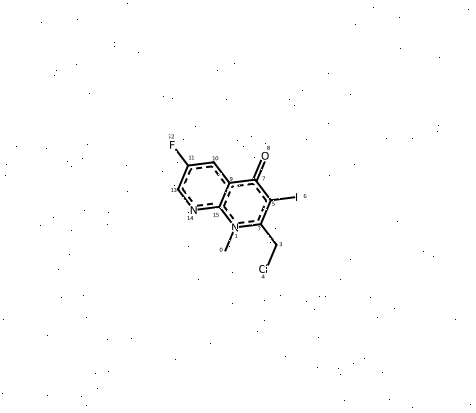 Cn1c(CCl)c(I)c(=O)c2cc(F)cnc21